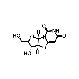 O=c1cc2n(c(=O)[nH]1)[C@@H]1O[C@H](CO)[C@@H](O)[C@@H]1O2